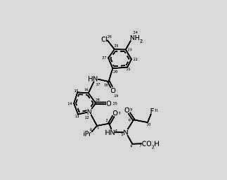 CC(C)C(C(=O)NN(CC(=O)O)C(=O)CF)n1cccc(NC(=O)c2ccc(N)c(Cl)c2)c1=O